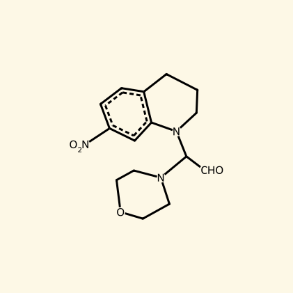 O=CC(N1CCOCC1)N1CCCc2ccc([N+](=O)[O-])cc21